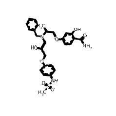 CC(COc1ccc(C(N)=O)c(O)c1)N(Cc1ccccc1)CC(O)COc1ccc(NS(C)(=O)=O)cc1